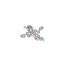 CC1=CC2=C(NC1)C1(c3ccccc32)c2cc(N(c3ccc(-c4ccc5ccccc5c4)cc3)c3ccc(C(C)(C)C)cc3)c3c(oc4ccccc43)c2-c2c1cc(N(c1ccc(-c3ccc4ccccc4c3)cc1)c1ccc(C(C)(C)C)cc1)c1c2oc2ccccc21